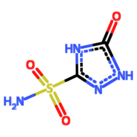 NS(=O)(=O)c1n[nH]c(=O)[nH]1